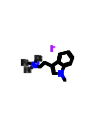 CC[N+](CC)(CC)CCc1cn(C)c2ccccc12.[I-]